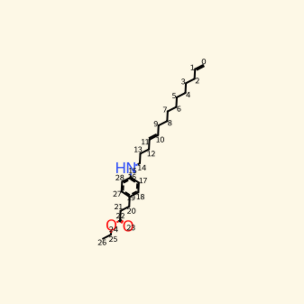 C=CCCCCCCCCC=CCCCNc1ccc(CCC(=O)OCC)cc1